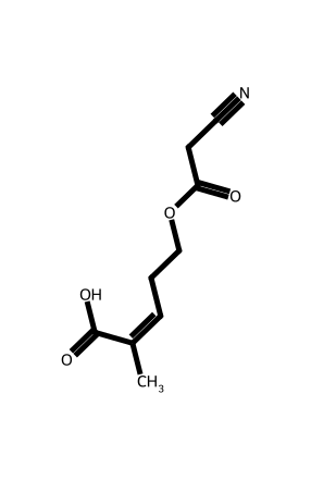 CC(=CCCOC(=O)CC#N)C(=O)O